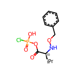 CC(C)[C@H](NOCc1ccccc1)C(=O)OP(=O)(O)Cl